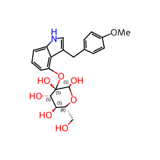 COc1ccc(Cc2c[nH]c3cccc(O[C@]4(O)[C@@H](O)O[C@H](CO)[C@@H](O)[C@@H]4O)c23)cc1